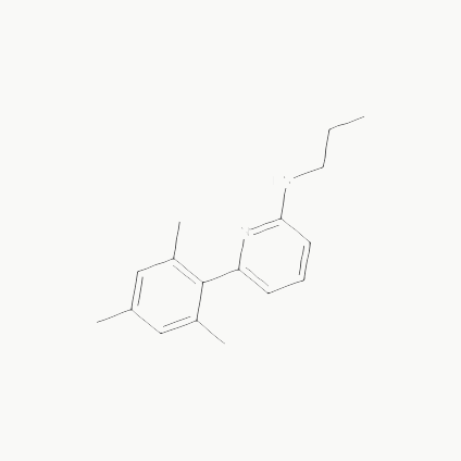 CCCNc1cccc(-c2c(C)cc(C)cc2C)n1